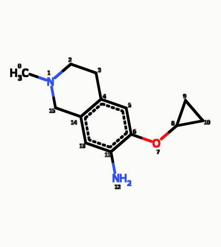 CN1CCc2cc(OC3CC3)c(N)cc2C1